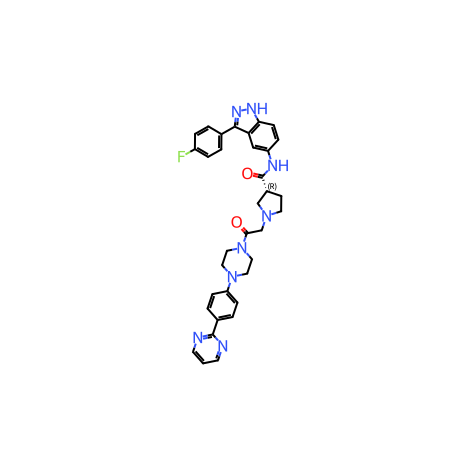 O=C(Nc1ccc2[nH]nc(-c3ccc(F)cc3)c2c1)[C@@H]1CCN(CC(=O)N2CCN(c3ccc(-c4ncccn4)cc3)CC2)C1